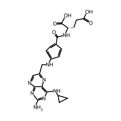 Nc1nc(NC2CC2)c2nc(CNc3ccc(C(=O)N[C@@H](CCC(=O)O)C(=O)O)cc3)cnc2n1